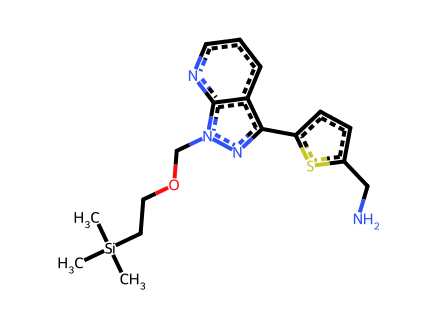 C[Si](C)(C)CCOCn1nc(-c2ccc(CN)s2)c2cccnc21